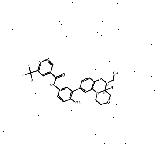 Cc1ccc(NC(=O)c2cnnc(C(F)(F)F)c2)cc1-c1ccc2c(c1)N1CCOC[C@H]1[C@H](CO)C2